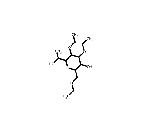 CCOCC1OC(C(C)C)C(OCC)C(OCC)C1O